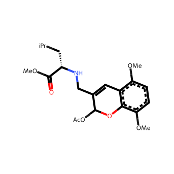 COC(=O)[C@H](CC(C)C)NCC1=Cc2c(OC)ccc(OC)c2OC1OC(C)=O